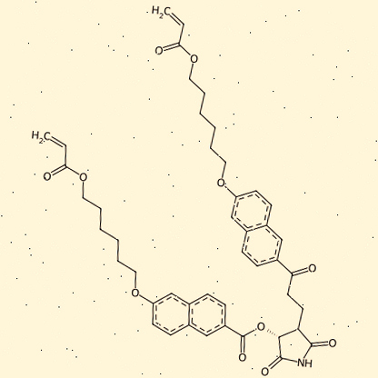 C=CC(=O)OCCCCCCOc1ccc2cc(C(=O)CCC3C(=O)NC(=O)[C@@H]3OC(=O)c3ccc4cc(OCCCCCCOC(=O)C=C)ccc4c3)ccc2c1